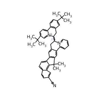 CC(C)(C)c1ccc2c(c1)C/C(=C1/Cc3cc4c(cc3-c3cccc[n+]31)C(C)(C)c1c-4ccc3ccc(C#N)cc13)[n+]1cc(C(C)(C)C)ccc1-2